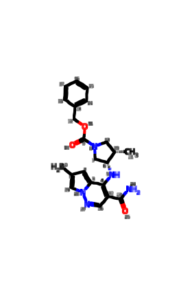 Bc1cc2c(N[C@@H]3CN(C(=O)OCc4ccccc4)C[C@@H]3C)c(C(N)=O)cnn2c1